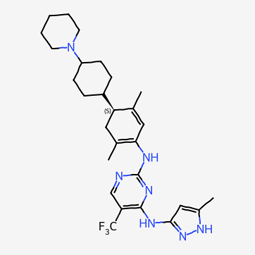 CC1=CC(Nc2ncc(C(F)(F)F)c(Nc3cc(C)[nH]n3)n2)=C(C)C[C@H]1C1CCC(N2CCCCC2)CC1